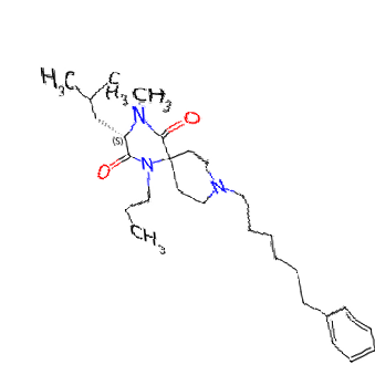 CCCN1C(=O)[C@H](CC(C)C)N(C)C(=O)C12CCN(CCCCCCc1ccccc1)CC2